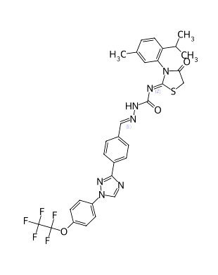 Cc1ccc(C(C)C)c(N2C(=O)CS/C2=N\C(=O)N/N=C/c2ccc(-c3ncn(-c4ccc(OC(F)(F)C(F)(F)F)cc4)n3)cc2)c1